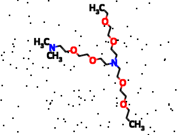 CCCOCCOCCN(CCOCCOCC)CCOCCOCCN(C)C